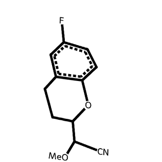 COC(C#N)C1CCc2cc(F)ccc2O1